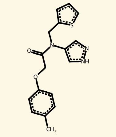 Cc1ccc(OCC(=O)N(Cc2cccs2)c2cn[nH]c2)cc1